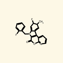 CC1C=c2c(n(Cc3ccccc3F)c3c(=O)oc4ncccc4c23)=CC1F